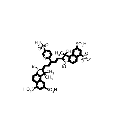 CCN1/C(=C/C=C(/C=C/C2=[N+](CC)c3ccc4c(S(=O)(=O)[O-])cc(S(=O)(=O)O)cc4c3C2(C)C)c2ccc(S(N)(=O)=O)cn2)C(C)(C)c2c1ccc1c(S(=O)(=O)O)cc(S(=O)(=O)O)cc21